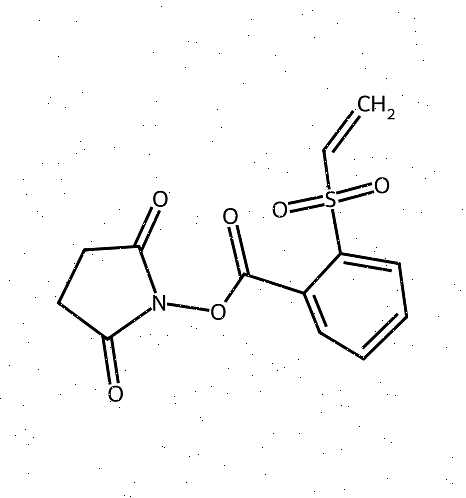 C=CS(=O)(=O)c1ccccc1C(=O)ON1C(=O)CCC1=O